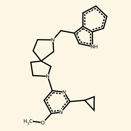 COc1cc(N2CCC3(CCN(Cc4c[nH]c5ccccc45)C3)C2)nc(C2CC2)n1